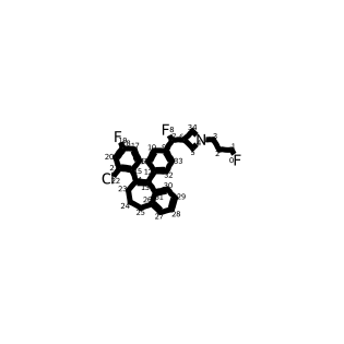 FCCCN1CC(C(F)c2ccc(C3=C(c4ccc(F)cc4Cl)CCCc4ccccc43)cc2)C1